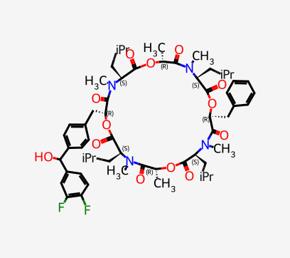 CC(C)C[C@H]1C(=O)O[C@H](Cc2ccc(C(O)c3ccc(F)c(F)c3)cc2)C(=O)N(C)[C@@H](CC(C)C)C(=O)O[C@H](C)C(=O)N(C)[C@@H](CC(C)C)C(=O)O[C@H](Cc2ccccc2)C(=O)N(C)[C@@H](CC(C)C)C(=O)O[C@H](C)C(=O)N1C